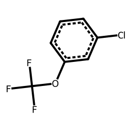 FC(F)(F)Oc1cccc(Cl)c1